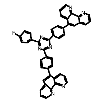 Fc1ccc(-c2nc(-c3ccc(-c4cc5cccnc5c5ncccc45)cc3)nc(-c3ccc(-c4cc5cccnc5c5ncccc45)cc3)n2)cc1